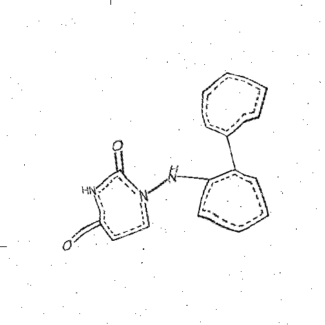 O=c1ccn(Nc2ccccc2-c2ccccc2)c(=O)[nH]1